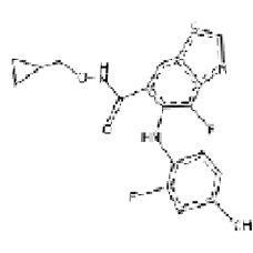 Cc1ccc(Nc2c(C(=O)NOCC3CC3)cc3scnc3c2F)c(F)c1